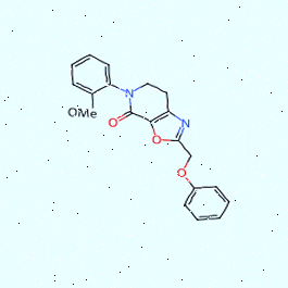 COc1ccccc1N1CCc2nc(COc3ccccc3)oc2C1=O